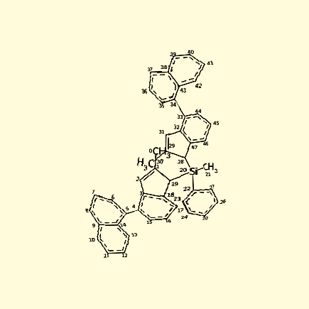 CC1=Cc2c(-c3cccc4ccccc34)cccc2C1[Si](C)(c1ccccc1)C1C(C)=Cc2c(-c3cccc4ccccc34)cccc21